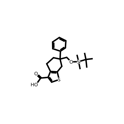 CC(C)(C)[Si](C)(C)OCC1(c2ccccc2)CCc2c(C(=O)O)csc2C1